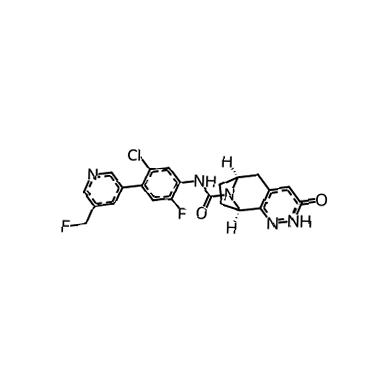 O=C(Nc1cc(Cl)c(-c2cncc(CF)c2)cc1F)N1[C@H]2CC[C@@H]1c1n[nH]c(=O)cc1C2